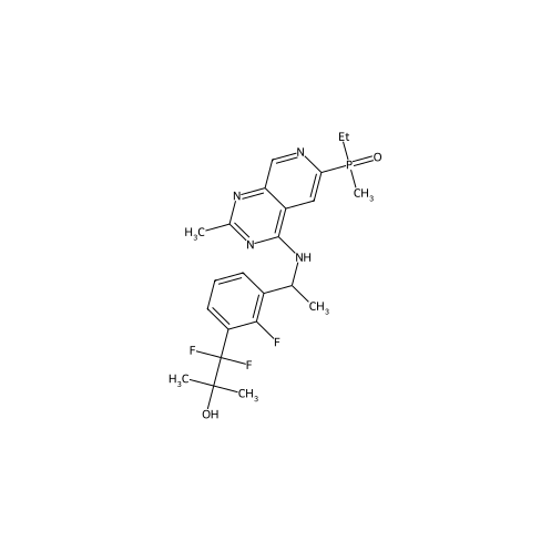 CCP(C)(=O)c1cc2c(NC(C)c3cccc(C(F)(F)C(C)(C)O)c3F)nc(C)nc2cn1